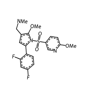 CNCc1cc(-c2ccc(F)cc2F)n(S(=O)(=O)c2ccc(OC)nc2)c1OC